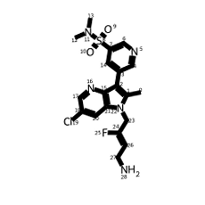 Cc1c(-c2cncc(S(=O)(=O)N(C)C)c2)c2ncc(Cl)cc2n1C/C(F)=C/CN